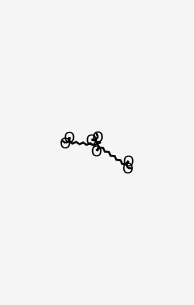 COC(=O)CCCCCCCCC(=O)C(C)(CCCCCCCC(=O)OC)C(=O)OC